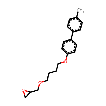 Cc1ccc(-c2ccc(OCCCCOCC3CO3)cc2)cc1